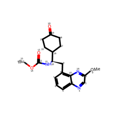 COc1cnc2cccc(C[C@@H](NC(=O)OC(C)(C)C)C3CCC(=O)CC3)c2n1